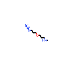 CNCCCOCCCN=[N+]=[N-]